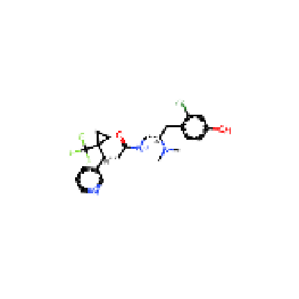 CN(C)[C@H](CNC(=O)C[C@H](c1cccnc1)C1(C(F)(F)F)CC1)Cc1ccc(O)cc1Cl